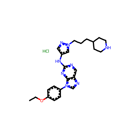 CCOc1ccc(-n2cnc3cnc(Nc4cnn(CCCC5CCNCC5)c4)nc32)cc1.Cl